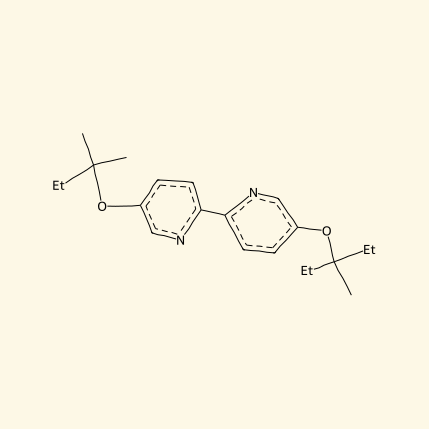 CCC(C)(C)Oc1ccc(-c2ccc(OC(C)(CC)CC)cn2)nc1